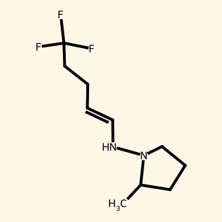 CC1CCCN1N/C=C/CCC(F)(F)F